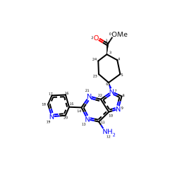 COC(=O)[C@H]1CC[C@@H](n2cnc3c(N)nc(-c4cccnc4)nc32)CC1